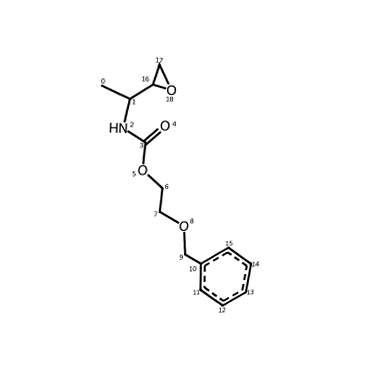 CC(NC(=O)OCCOCc1ccccc1)C1CO1